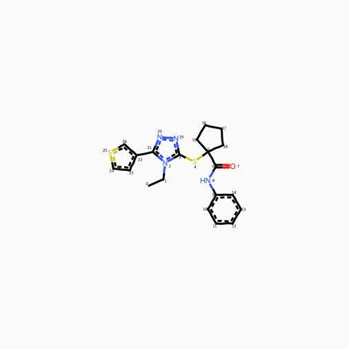 CCn1c(SC2(C(=O)Nc3ccccc3)CCCC2)nnc1-c1ccsc1